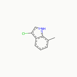 Cc1cccc2c(Cl)c[nH]c12